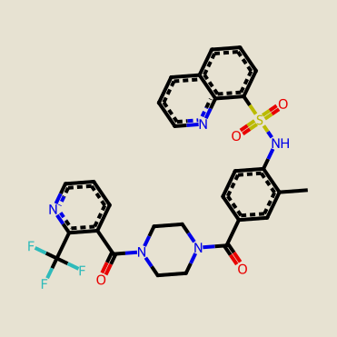 Cc1cc(C(=O)N2CCN(C(=O)c3cccnc3C(F)(F)F)CC2)ccc1NS(=O)(=O)c1cccc2cccnc12